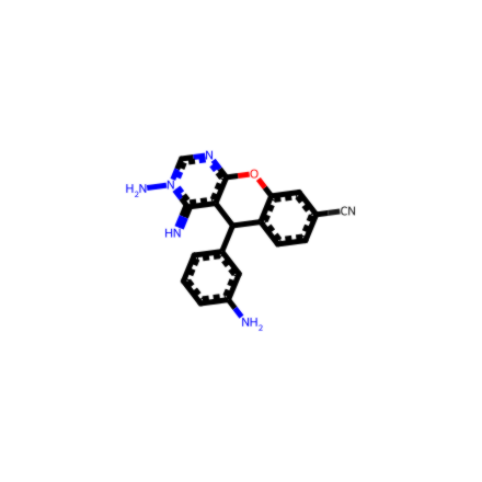 N#Cc1ccc2c(c1)Oc1ncn(N)c(=N)c1C2c1cccc(N)c1